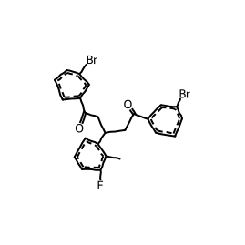 Cc1c(F)cccc1C(CC(=O)c1cccc(Br)c1)CC(=O)c1cccc(Br)c1